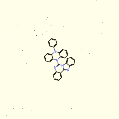 c1ccc(N2c3ccccc3N(c3nc4ccccc4c4nc5ccccc5n34)c3ccccc32)cc1